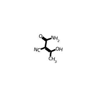 C/C(O)=C(\C#N)C(N)=O